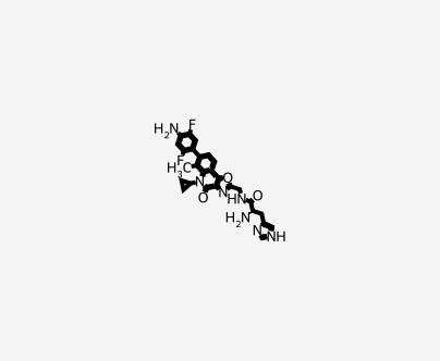 Cc1c(-c2cc(F)c(N)cc2F)ccc2c3oc(CNC(=O)[C@@H](N)Cc4c[nH]cn4)nc3c(=O)n(C3CC3)c12